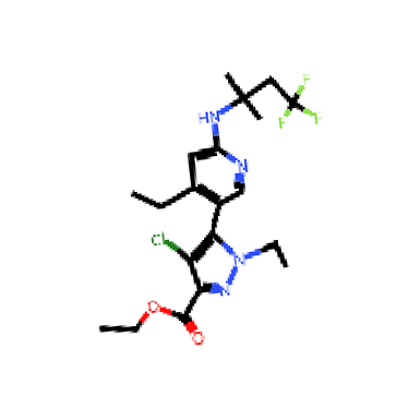 CCOC(=O)c1nn(CC)c(-c2cnc(NC(C)(C)CC(F)(F)F)cc2CC)c1Cl